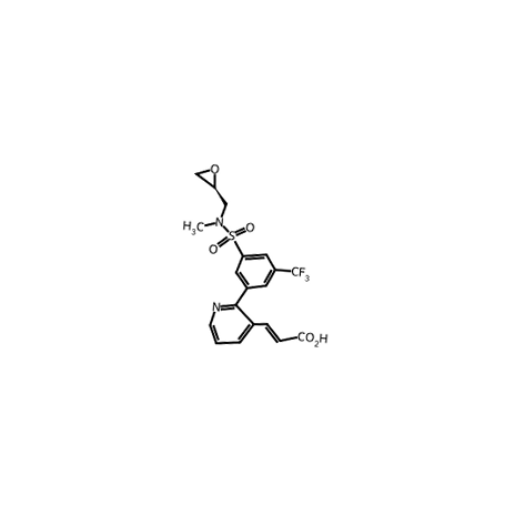 CN(C[C@H]1CO1)S(=O)(=O)c1cc(-c2ncccc2/C=C/C(=O)O)cc(C(F)(F)F)c1